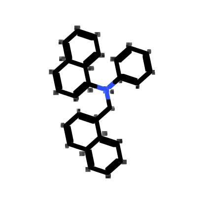 c1ccc(N(Cc2cccc3ccccc23)c2cccc3ccccc23)cc1